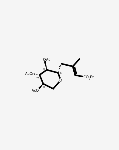 CCOC(=O)C=C(C)C[C@@H]1OC[C@@H](OC(C)=O)[C@H](OC(C)=O)[C@H]1OC(C)=O